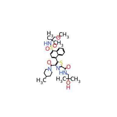 COCC(C)(C)NS(=O)(=O)c1ccc(-c2sc(C(=O)NCC(C)(C)O)nc2C(=O)N2CCC(C)CC2)c2ccccc12